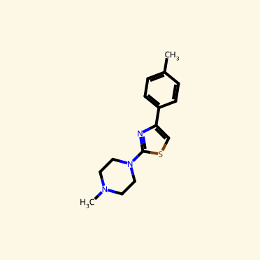 Cc1ccc(-c2csc(N3CCN(C)CC3)n2)cc1